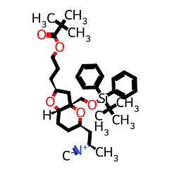 [C-]#[N+][C@H](C)C[C@H]1CC[C@@H]2O[C@@H](CCCOC(=O)C(C)(C)C)C[C@]2(CO[Si](c2ccccc2)(c2ccccc2)C(C)(C)C)O1